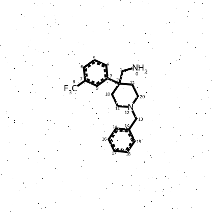 NCC1(c2cccc(C(F)(F)F)c2)CCN(Cc2ccccc2)CC1